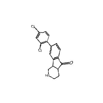 O=C1c2ccc(-c3ccc(Cl)cc3Cl)cc2C2CNCCC12